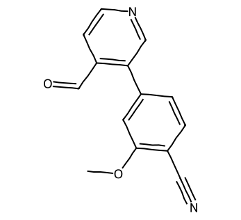 COc1cc(-c2cnccc2C=O)ccc1C#N